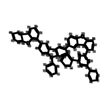 c1ccc(-c2nc(-c3ccccc3)nc(-c3cccc4oc5ccc(-c6ccc7c(c6)c6cc(-c8cccc9c8oc8ccccc89)ccc6n7-c6ccccc6)cc5c34)n2)cc1